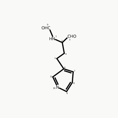 O=CNC(C=O)CCc1cccnc1